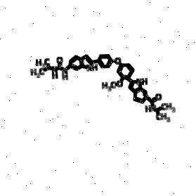 COc1cc(Oc2ccc(-c3cc4ccc(NC(=O)NC(C)C)cc4[nH]3)cc2)ccc1-c1cc2ccc(C(=O)NC(C)C)cc2[nH]1